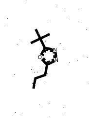 CCCc1nnc(C(C)(C)C)o1